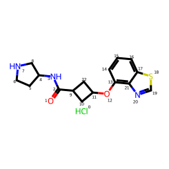 Cl.O=C(NC1CCNC1)C1CC(Oc2cccc3scnc23)C1